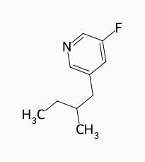 CCC(C)Cc1cncc(F)c1